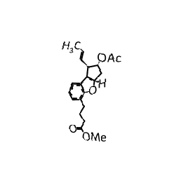 C/C=C/[C@@H]1C2c3cccc(CCCC(=O)OC)c3O[C@H]2C[C@H]1OC(C)=O